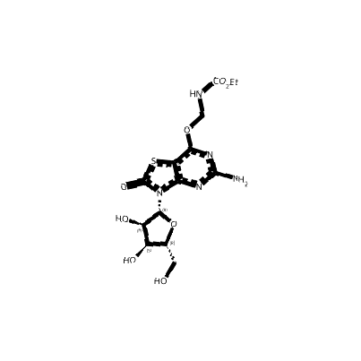 CCOC(=O)NCOc1nc(N)nc2c1sc(=O)n2[C@@H]1O[C@H](CO)[C@@H](O)[C@H]1O